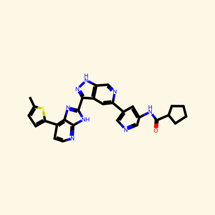 Cc1ccc(-c2ccnc3[nH]c(-c4n[nH]c5cnc(-c6cncc(NC(=O)C7CCCC7)c6)cc45)nc23)s1